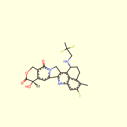 CC[C@@]1(O)C(=O)OCc2c1cc1n(c2=O)Cc2c-1nc1cc(F)c(C)c3c1c2[C@@H](NCC(C)(F)F)CC3